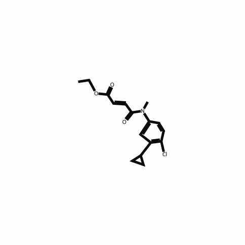 CCOC(=O)/C=C/C(=O)N(C)c1ccc(Cl)c(C2CC2)c1